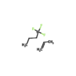 C=CC.CCC[Si](F)(F)F